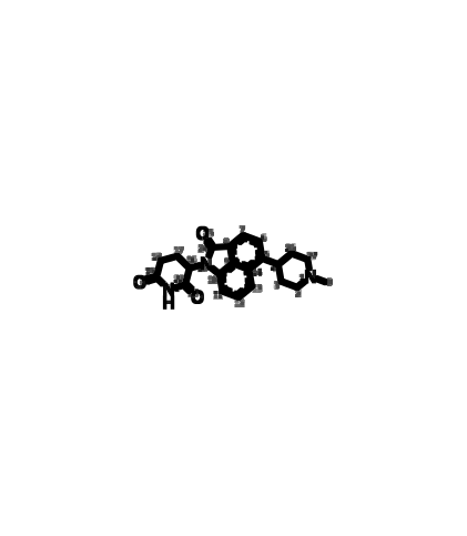 CN1CCC(c2ccc3c4c(cccc24)N(C2CCC(=O)NC2=O)C3=O)CC1